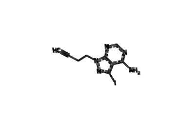 C#CCCn1nc(I)c2c(N)ncnc21